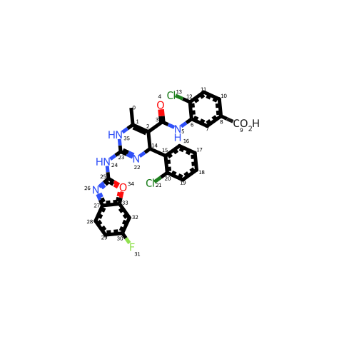 CC1=C(C(=O)Nc2cc(C(=O)O)ccc2Cl)C(c2ccccc2Cl)N=C(Nc2nc3ccc(F)cc3o2)N1